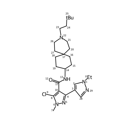 CCn1cc(-c2nn(C)c(Cl)c2C(=O)NC2CCC3(CC2)CCN(CCC(C)(C)C)CC3)cn1